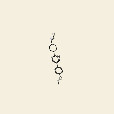 CCOc1ccc(-c2cnc([C@H]3CC[C@H](/C=C/Cl)CC3)nc2)cc1